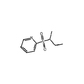 CCC(C)S(=O)(=O)c1ccccn1